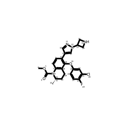 COC(=O)N1c2ccc(-c3cnn(C4CNC4)c3)c(Oc3ccc(F)c(Cl)c3)c2CC[C@@H]1C